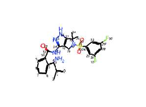 CC(C)C(N)c1ccccc1C(=O)Nc1n[nH]c2c1CN(S(=O)(=O)c1cc(F)cc(F)c1)C2(C)C